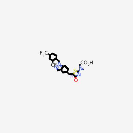 CN(CC(=O)O)C1=NC(=O)/C(=C/c2ccc3c(cnn3Cc3ccc(C(F)(F)F)cc3C(F)(F)F)c2)S1